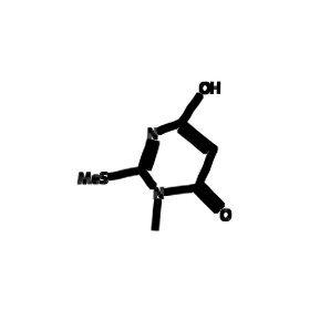 CSc1nc(O)cc(=O)n1C